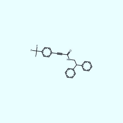 O=C(C#Cc1ccc(C(F)(F)F)cc1)NCC(c1ccccc1)c1ccccc1